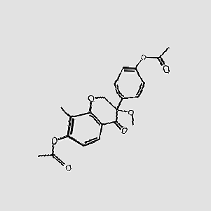 COC1(c2ccc(OC(C)=O)cc2)COc2c(ccc(OC(C)=O)c2C)C1=O